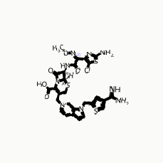 CO/N=C(\C(=O)N[C@@H]1C(=O)N2C(C(=O)O)=C(C[n+]3ccc4ccn(Cc5cc(C(=N)N)cs5)c4c3)CS[C@H]12)c1nc(N)sc1Cl